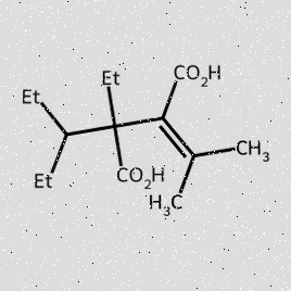 CCC(CC)C(CC)(C(=O)O)C(C(=O)O)=C(C)C